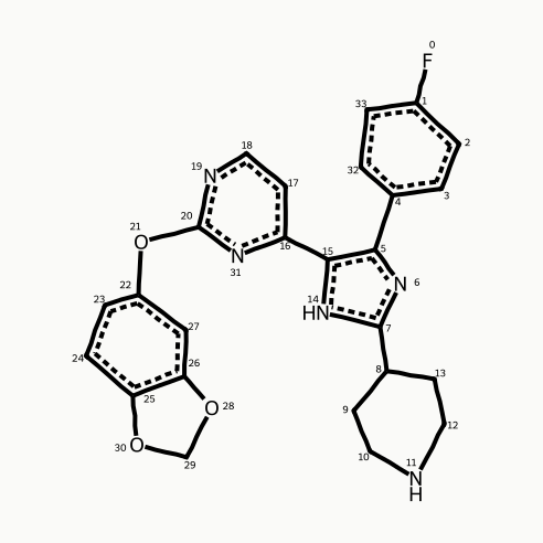 Fc1ccc(-c2nc(C3CCNCC3)[nH]c2-c2ccnc(Oc3ccc4c(c3)OCO4)n2)cc1